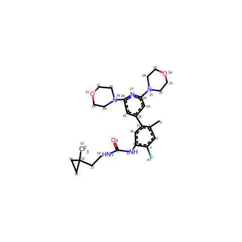 Cc1cc(F)c(NC(=O)NCCC2(C(F)(F)F)CC2)cc1-c1cc(N2CCOCC2)nc(N2CCOCC2)c1